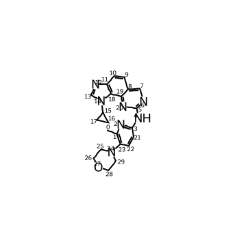 Cc1nc(Nc2ncc3ccc4ncn(C5CC5)c4c3n2)ccc1N1CCOCC1